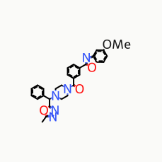 COc1ccc2oc(-c3cccc(C(=O)N4CCN(C(c5ccccc5)c5nnc(C)o5)CC4)c3)nc2c1